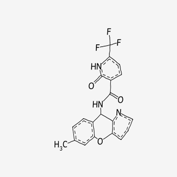 Cc1ccc2c(c1)Oc1cccnc1C2NC(=O)c1ccc(C(F)(F)F)[nH]c1=O